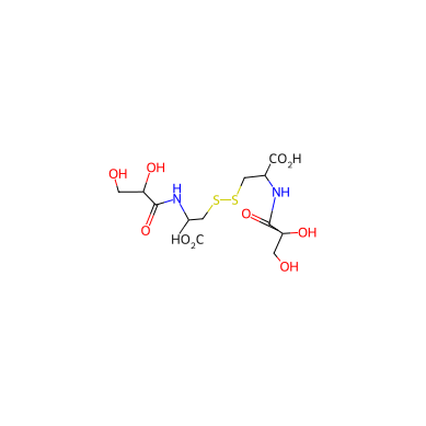 O=C(NC(CSSCC(NC(=O)C(O)CO)C(=O)O)C(=O)O)C(O)CO